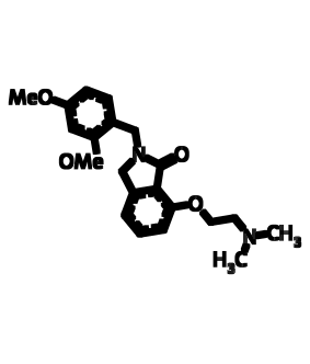 COc1ccc(CN2Cc3cccc(OCCN(C)C)c3C2=O)c(OC)c1